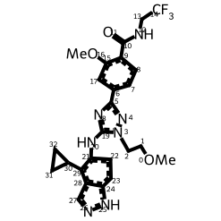 COCCn1nc(-c2ccc(C(=O)NCC(F)(F)F)c(OC)c2)nc1Nc1ccc2[nH]ncc2c1C1CC1